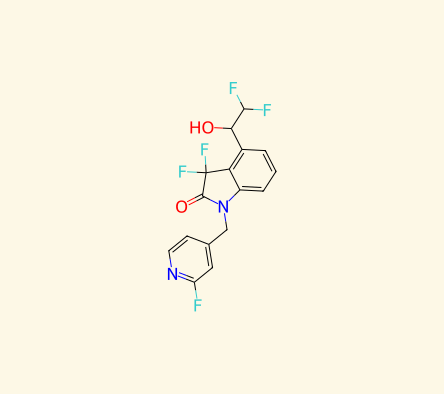 O=C1N(Cc2ccnc(F)c2)c2cccc(C(O)C(F)F)c2C1(F)F